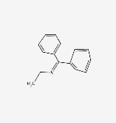 [CH2]CN=C(c1ccccc1)c1ccccc1